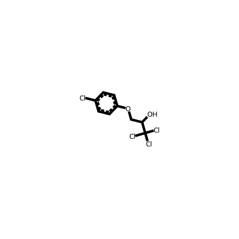 OC(COc1ccc(Cl)cc1)C(Cl)(Cl)Cl